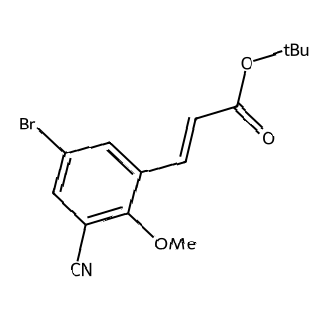 COc1c(C#N)cc(Br)cc1/C=C/C(=O)OC(C)(C)C